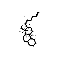 C=CCC[C@@H](C)[C@H]1CC[C@H]2[C@@H]3CCC4CCCC[C@]4(C)[C@H]3CC[C@]12C